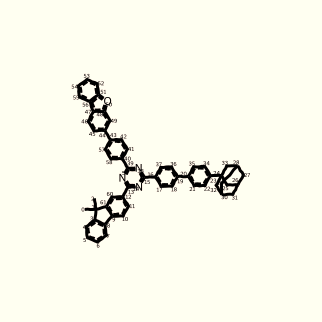 CC1(C)c2ccccc2-c2ccc(-c3nc(-c4ccc(-c5ccc(C67CC8CC(CC(C8)C6)C7)cc5)cc4)nc(-c4ccc(-c5ccc6c(c5)oc5ccccc56)cc4)n3)cc21